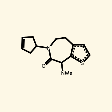 CNC1C(=O)N(C2CC=CC2)CCc2ccsc21